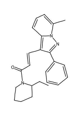 CCC1CCCCN1C(=O)C=Cc1c(-c2ccccc2)nn2c(C)cccc12